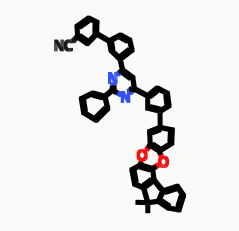 CC1(C)c2ccccc2-c2c1ccc1c2Oc2ccc(-c3cccc(-c4cc(-c5cccc(-c6cccc(C#N)c6)c5)nc(-c5ccccc5)n4)c3)cc2O1